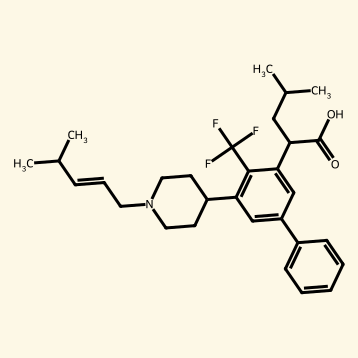 CC(C)C=CCN1CCC(c2cc(-c3ccccc3)cc(C(CC(C)C)C(=O)O)c2C(F)(F)F)CC1